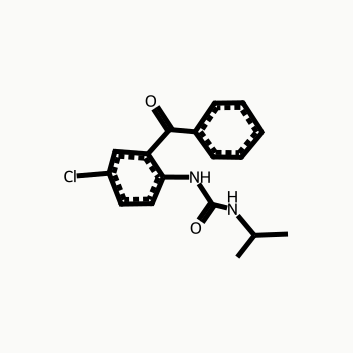 CC(C)NC(=O)Nc1ccc(Cl)cc1C(=O)c1ccccc1